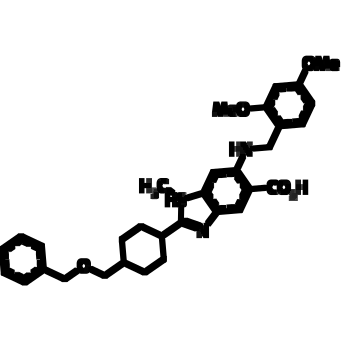 COc1ccc(CNc2cc3c(cc2C(=O)O)N=C(C2CCC(COCc4ccccc4)CC2)[SH]3C)c(OC)c1